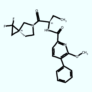 CC[C@@H](NC(=O)c1ccc(-c2ccccc2)c(OC)n1)C(=O)N1CC[C@]2(C1)CC2(F)F